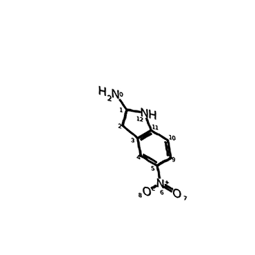 NC1Cc2cc([N+](=O)[O-])ccc2N1